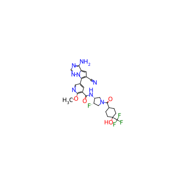 COc1ncc(-c2c(C#N)cc3c(N)ncnn23)cc1C(=O)N[C@@H]1CN(C(=O)C2CCC(O)(C(F)(F)F)CC2)C[C@@H]1F